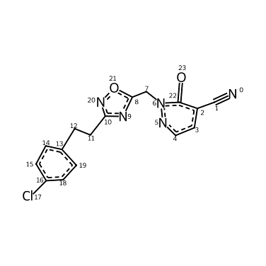 N#Cc1ccnn(Cc2nc(CCc3ccc(Cl)cc3)no2)c1=O